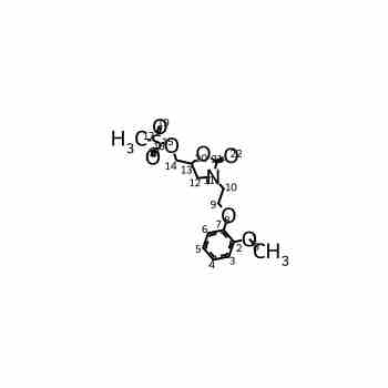 COc1ccccc1OCCN1CC(COS(C)(=O)=O)OC1=O